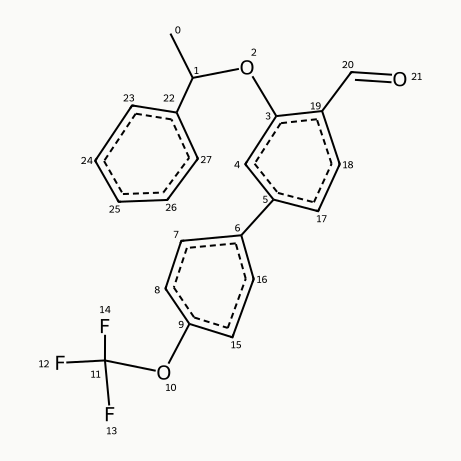 CC(Oc1cc(-c2ccc(OC(F)(F)F)cc2)ccc1C=O)c1ccccc1